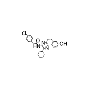 O=C(Cc1ccc(Cl)cc1)Nc1nc2c(nc1C1CCCCC1)-c1ccc(O)cc1CC2